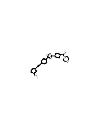 O=C(c1ccc(-c2nc(-c3ccc(C#Cc4cccc(C(F)(F)F)c4)cc3)no2)cc1)N1CCOCC1